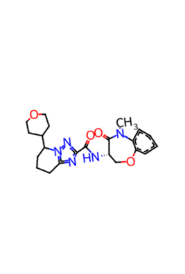 CN1C(=O)[C@@H](NC(=O)c2nc3n(n2)C(C2CCOCC2)CCC3)COc2ccccc21